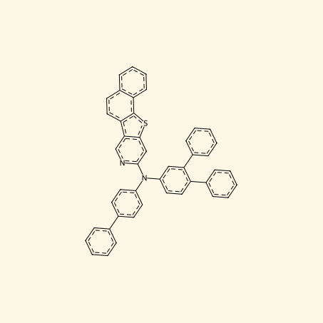 c1ccc(-c2ccc(N(c3ccc(-c4ccccc4)c(-c4ccccc4)c3)c3cc4sc5c6ccccc6ccc5c4cn3)cc2)cc1